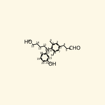 Cc1cc(CCC=O)cc(C)c1N(CCCCO)c1cccc(O)c1